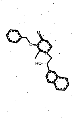 Cc1c(OCc2ccccc2)c(=O)ccn1C[C@@H](O)c1ccc2ccccc2c1